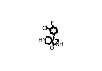 O=C1NCN(c2ccc(F)c(Cl)c2)C12CCNCC2